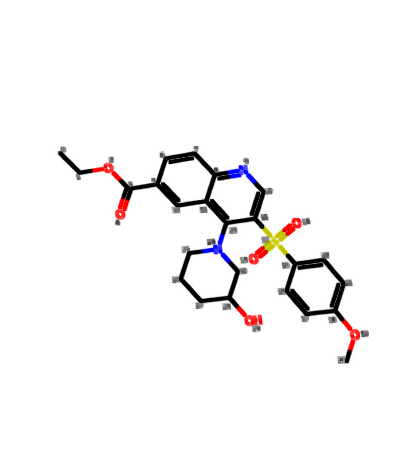 CCOC(=O)c1ccc2ncc(S(=O)(=O)c3ccc(OC)cc3)c(N3CCCC(O)C3)c2c1